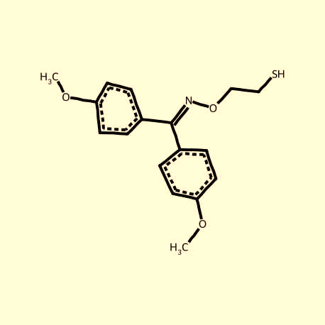 COc1ccc(C(=NOCCS)c2ccc(OC)cc2)cc1